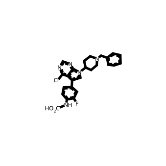 O=C(O)Nc1ccc(-c2cn(C3CCN(Cc4ccccc4)CC3)c3ncnc(Cl)c23)cc1F